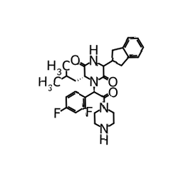 CC(C)C[C@@H]1C(=O)NC(C2Cc3ccccc3C2)C(=O)N1[C@@H](C(=O)N1CCNCC1)c1ccc(F)cc1F